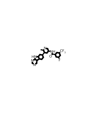 Cc1ncc(NC(=O)c2cc(F)cc(C(F)(F)F)c2)cc1-c1ccc2c(c1)[nH]c1ncncc12